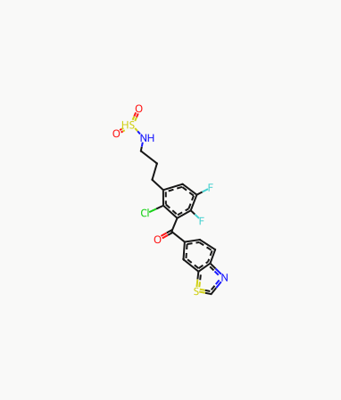 O=C(c1ccc2ncsc2c1)c1c(F)c(F)cc(CCCN[SH](=O)=O)c1Cl